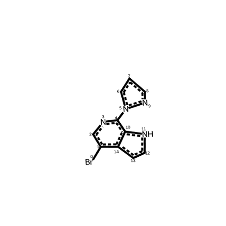 Brc1cnc(-n2cccn2)c2[nH]ccc12